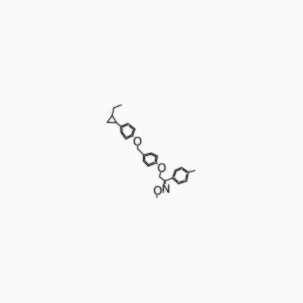 CCC1CC1c1ccc(OCc2ccc(OC/C(=N\OC)c3ccc(C)cc3)cc2)cc1